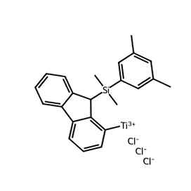 Cc1cc(C)cc([Si](C)(C)C2c3ccccc3-c3ccc[c]([Ti+3])c32)c1.[Cl-].[Cl-].[Cl-]